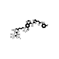 COc1cc2c(Nc3ncc(CC(=O)Nc4cccc(F)c4)s3)ncnc2cc1OCCCC(CO)OC(=O)NC(C)(C)C